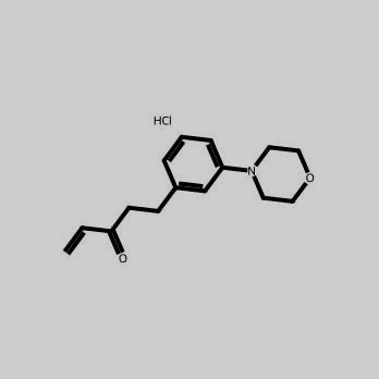 C=CC(=O)CCc1cccc(N2CCOCC2)c1.Cl